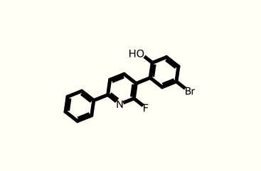 Oc1ccc(Br)cc1-c1ccc(-c2ccccc2)nc1F